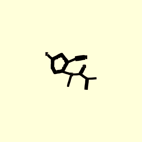 C=C(C)C(=O)N(C)c1ccc(F)cc1C#N